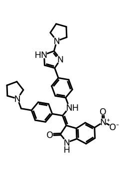 O=C1Nc2ccc([N+](=O)[O-])cc2C1=C(Nc1ccc(-c2c[nH]c(N3CCCC3)n2)cc1)c1ccc(CN2CCCC2)cc1